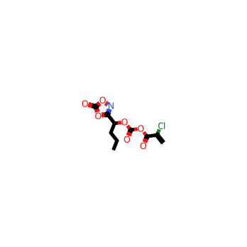 C=C(Cl)C(=O)OC(=O)OC(CCC)c1noc(=O)o1